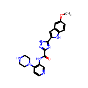 COc1ccc2[nH]c(-c3nc(C(=O)Nc4cnccc4N4CCNCC4)n[nH]3)cc2c1